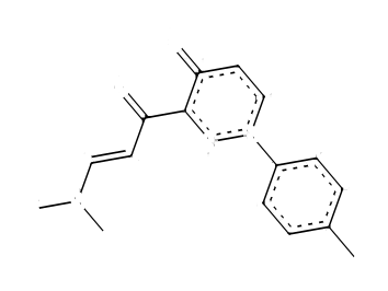 Cc1ccc(-n2ccc(=O)c(C(=O)/C=C/N(C)C)n2)cc1